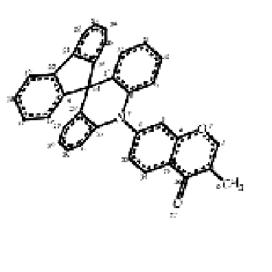 Cc1coc2cc(N3c4ccccc4C4(c5ccccc5-c5ccccc54)c4ccccc43)ccc2c1=O